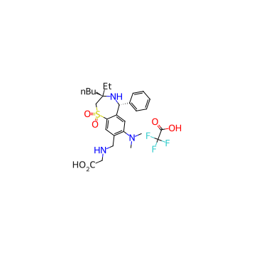 CCCC[C@]1(CC)CS(=O)(=O)c2cc(CNCC(=O)O)c(N(C)C)cc2[C@@H](c2ccccc2)N1.O=C(O)C(F)(F)F